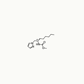 CCCCCC[C@H](Cn1cccn1)NC(=O)OC